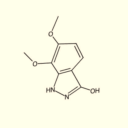 COc1ccc2c(O)n[nH]c2c1OC